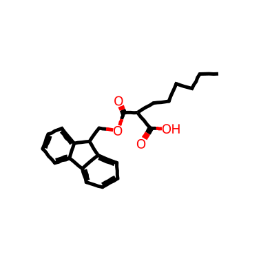 CCCCCCC(C(=O)O)C(=O)OCC1c2ccccc2-c2ccccc21